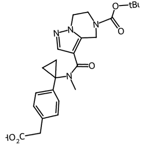 CN(C(=O)c1cnn2c1CN(C(=O)OC(C)(C)C)CC2)C1(c2ccc(CC(=O)O)cc2)CC1